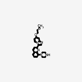 COCCOc1ccn2c(-c3ccc4cccc(N5CCNCC5)c4n3)cnc2c1